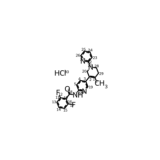 CC1=C(c2ccc(NC(=O)c3c(F)cccc3F)nc2)CN(c2ccccn2)CC1.Cl